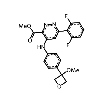 COC(=O)c1nnc(-c2c(F)cccc2F)cc1Nc1ccc(C2(OC)COC2)cc1